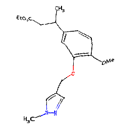 CCOC(=O)CC(C)c1ccc(OC)c(OCc2cnn(C)c2)c1